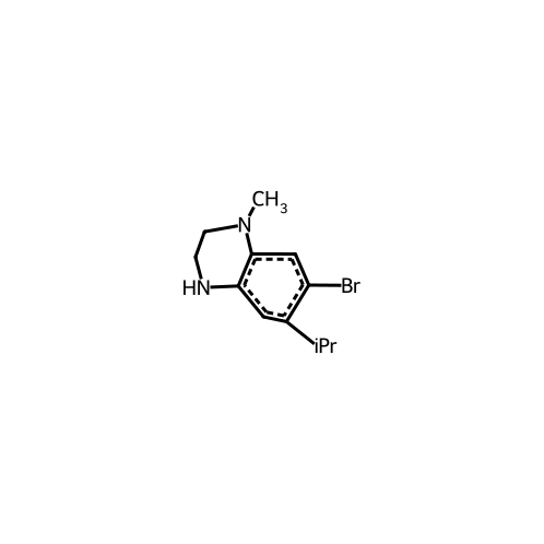 CC(C)c1cc2c(cc1Br)N(C)CCN2